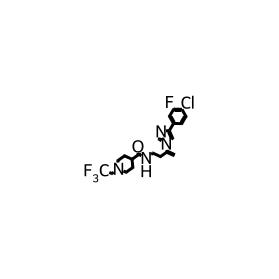 C=C(CCNC(=O)C1CCN(CC(F)(F)F)CC1)n1cnc(-c2ccc(Cl)c(F)c2)c1